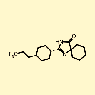 O=C1NC([C@H]2CC[C@H](CCC(F)(F)F)CC2)=NC12CCCCC2